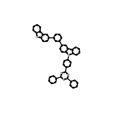 c1ccc(-c2nc(-c3ccccc3)nc(-c3ccc(-n4c5ccccc5c5cc(-c6cccc(-c7ccc8oc9ccccc9c8c7)c6)ccc54)cc3)n2)cc1